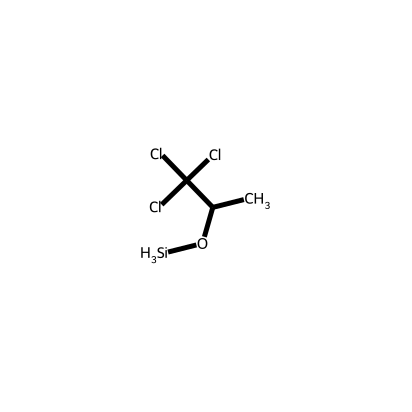 CC(O[SiH3])C(Cl)(Cl)Cl